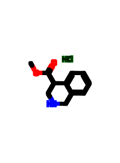 COC(=O)C1CNCc2ccccc21.Cl